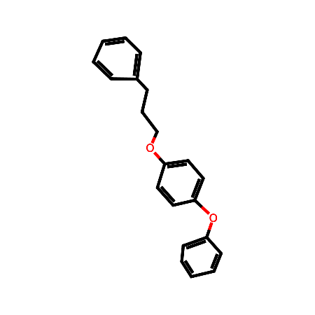 c1ccc(CCCOc2ccc(Oc3ccccc3)cc2)cc1